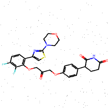 O=C(COc1ccc(C2CCC(=O)NC2=O)cc1)COc1c(-c2csc(N3CCOCC3)n2)ccc(F)c1F